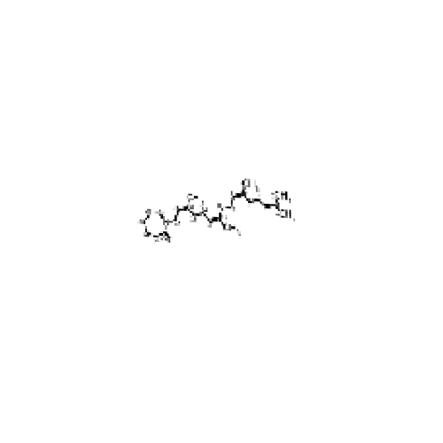 CC(C)=CCCC(C)=CCCC(C)=CCCC(C)=CCN1CCCCCC1=O